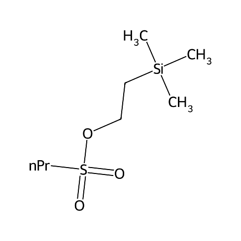 CCCS(=O)(=O)OCC[Si](C)(C)C